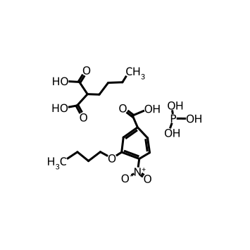 CCCCC(C(=O)O)C(=O)O.CCCCOc1cc(C(=O)O)ccc1[N+](=O)[O-].OP(O)O